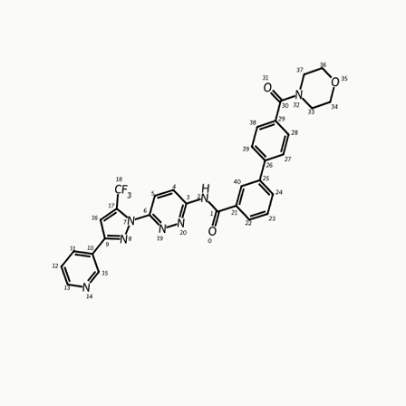 O=C(Nc1ccc(-n2nc(-c3cccnc3)cc2C(F)(F)F)nn1)c1cccc(-c2ccc(C(=O)N3CCOCC3)cc2)c1